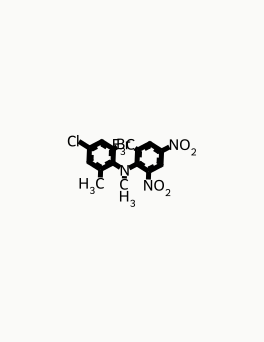 Cc1cc(Cl)cc(Br)c1N(C)c1c([N+](=O)[O-])cc([N+](=O)[O-])cc1C(F)(F)F